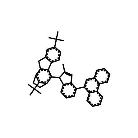 CC1=Cc2c(-c3cc4ccccc4c4ccccc34)cccc2C1c1c2c(C(C)(C)C)c(c3c1-c1ccc(C(C)(C)C)cc1[CH]3)CC2